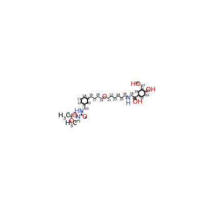 CCN(OC(C)=O)C(=O)NCc1cccc(CCCCOCCCCCCNC[C@@H](O)c2ccc(O)c(CO)c2)c1